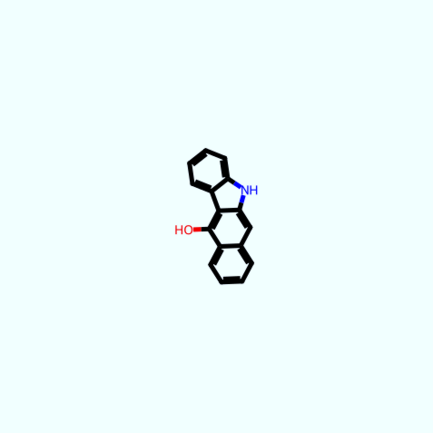 Oc1c2ccccc2cc2[nH]c3ccccc3c12